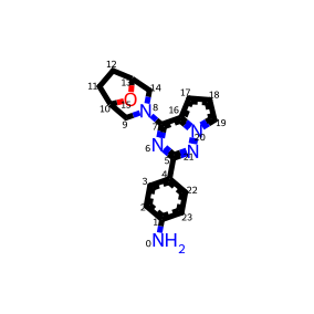 Nc1ccc(-c2nc(N3CC4CCC(C3)O4)c3cccn3n2)cc1